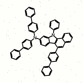 c1ccc(-c2ccc(-c3cc4ccccc4c4c3c3ccc(N(c5ccc(-c6ccccc6)cc5)c5ccc(-c6ccccc6)cc5)cc3n4-c3ccccc3)cc2)cc1